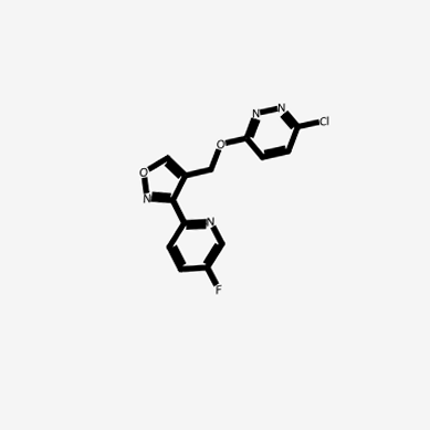 Fc1ccc(-c2nocc2COc2ccc(Cl)nn2)nc1